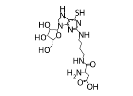 NC(CC(=O)O)C(=O)NCCCCNc1nc(S)c2c(n1)N(C1O[C@H](CO)[C@H](O)C1O)CN2